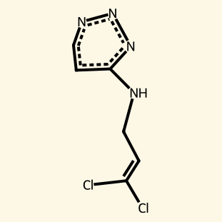 ClC(Cl)=CCNc1ccnnn1